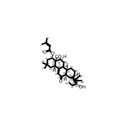 CC(C)=CC(=O)O[C@@H]1CC(C)(C)C[C@H]2C3=CC(=O)[C@@H]4[C@]56CC[C@](O)(OC5)C(C)(C)[C@@H]6CC[C@@]4(C)[C@]3(C)CC[C@@]12C(=O)O